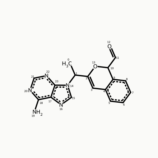 CC(C1=Cc2ccccc2C(C=O)O1)n1cnc2c(N)ncnc21